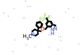 CN1CCC(COCc2cc(C(F)(F)F)cc3cn[nH]c23)(c2ccc(F)cc2)CC1